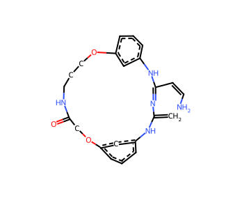 C=C1/N=C(\C=C/N)Nc2cccc(c2)OCCCNC(=O)COc2cccc(c2)N1